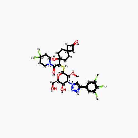 CO[C@@H]1[C@@H](n2cc(-c3cc(F)c(F)c(F)c3)nn2)[C@@H](O)[C@@H](CO)O[C@H]1SC(C(=O)N1CCC(F)(F)CC1)C1(O)CCC2(CC1)CC(=O)C2